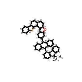 CC1(C)c2ccccc2-c2c(-c3c4ccccc4c(-c4ccc5c(c4)oc4ccc6ccc7c8ccccc8sc7c6c45)c4ccccc34)cccc21